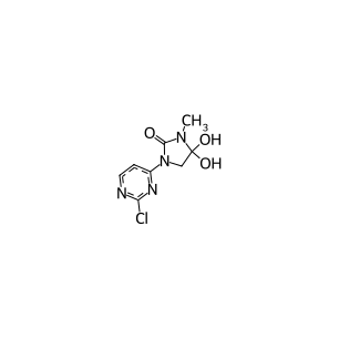 CN1C(=O)N(c2ccnc(Cl)n2)CC1(O)O